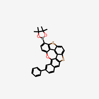 CC1(C)OB(c2ccc3oc4c5cc(-c6ccccc6)ccc5cc5sc6ccc7sc2c3c7c6c54)OC1(C)C